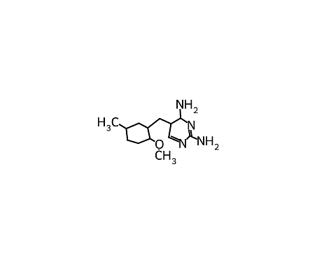 COC1CCC(C)CC1CC1C=NC(N)=NC1N